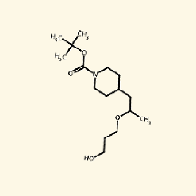 CC(CC1CCN(C(=O)OC(C)(C)C)CC1)OCCCO